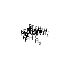 CCC1CC(NC(c2cc(C(F)(F)F)cc(C(F)(F)F)c2)c2ncc(Br)cn2)CC(CC)N1C(=O)OC(C)(C)C